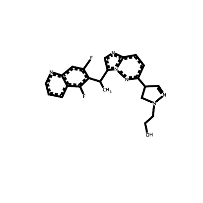 CC(c1c(F)cc2ncccc2c1F)c1cnc2ccc(C3C=NN(CCO)C3)nn12